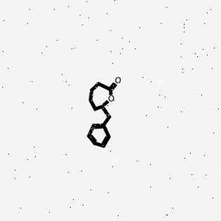 O=C1CCCCC(Cc2ccccc2)O1